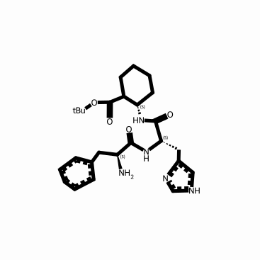 CC(C)(C)OC(=O)[C]1CCCC[C@@H]1NC(=O)[C@H](Cc1c[nH]cn1)NC(=O)[C@@H](N)Cc1ccccc1